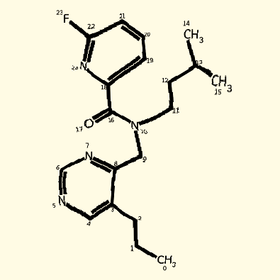 CCCc1cncnc1CN(CCC(C)C)C(=O)c1cccc(F)n1